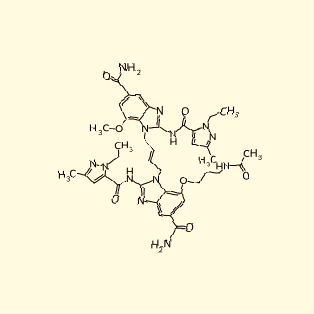 CCn1nc(C)cc1C(=O)Nc1nc2cc(C(N)=O)cc(OC)c2n1C/C=C/Cn1c(NC(=O)c2cc(C)nn2CC)nc2cc(C(N)=O)cc(OCCCNC(C)=O)c21